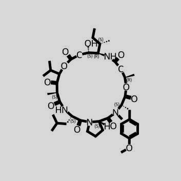 CC[C@H](C)[C@H]1NC(=O)C[C@@H](C)OC(=O)[C@H](Cc2ccc(OC)cc2)N(C)C(=O)[C@@H]2CCCN2C(=O)[C@H](CC(C)C)NC(=O)[C@@H](C)C(=O)C(C(C)C)OC(=O)C[C@@H]1O